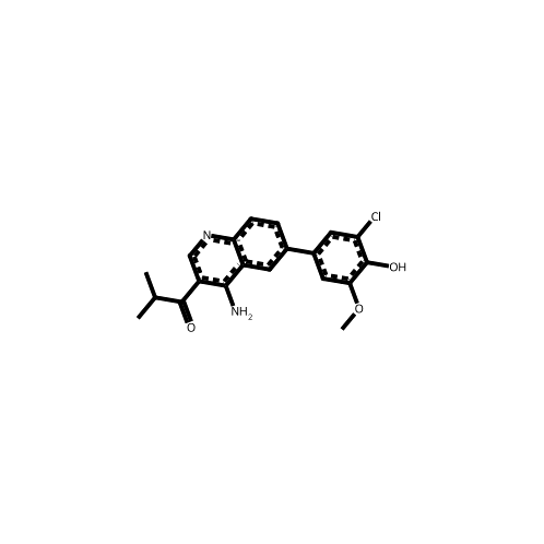 COc1cc(-c2ccc3ncc(C(=O)C(C)C)c(N)c3c2)cc(Cl)c1O